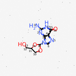 Nc1nc2c(ncn2C2OCC(CO)O2)c(=O)[nH]1